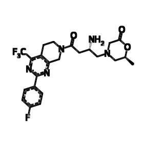 C[C@H]1CN(C[C@@H](N)CC(=O)N2CCc3c(nc(-c4ccc(F)cc4)nc3C(F)(F)F)C2)CC(=O)O1